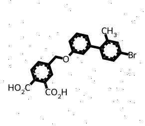 Cc1cc(Br)ccc1-c1cccc(OCc2ccc(C(=O)O)c(C(=O)O)c2)c1